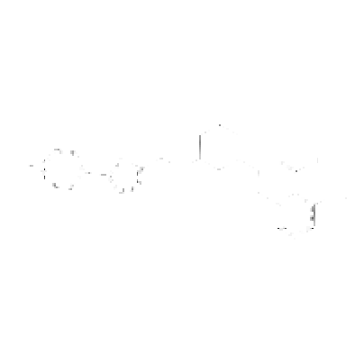 Cc1cccc(CCC2CCCC(OCc3coc(-c4ccc(F)cc4)n3)C2)c1C(=O)O